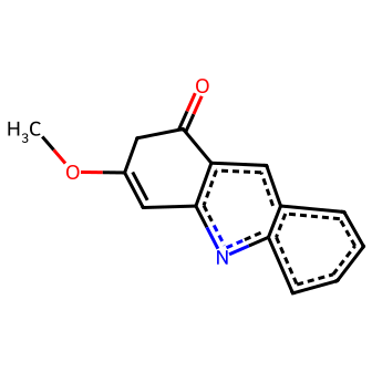 COC1=Cc2nc3ccccc3cc2C(=O)C1